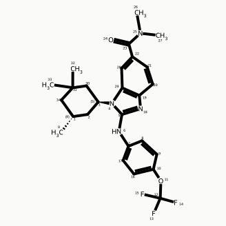 C[C@H]1C[C@H](n2c(Nc3ccc(OC(F)(F)F)cc3)nc3ccc(C(=O)N(C)C)cc32)CC(C)(C)C1